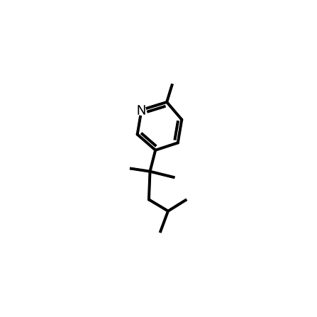 Cc1ccc(C(C)(C)CC(C)C)cn1